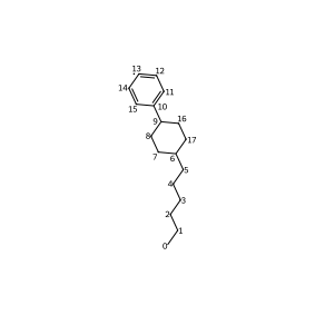 CCCCCCC1CCC(c2cc[c]cc2)CC1